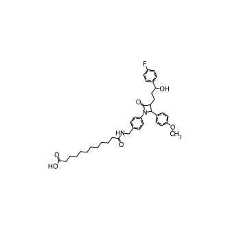 COc1ccc(C2C(CCC(O)c3ccc(F)cc3)C(=O)N2c2ccc(CNC(=O)CCCCCCCCCCC(=O)O)cc2)cc1